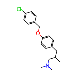 CC(Cc1ccc(OCc2ccc(Cl)cc2)cc1)CN(C)C